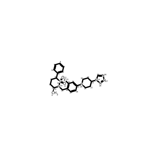 C[C@H]1CCC(c2ccccc2)S(=O)(=O)N1Cc1ccc(N2CCC(n3cnnn3)CC2)cc1F